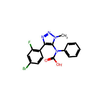 Cn1nnc(-c2ccc(Br)cc2F)c1N(C(=O)O)c1cc[c]cc1